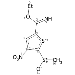 CCOC(=N)c1cc([N+](=O)[O-])c([S+](C)[O-])s1